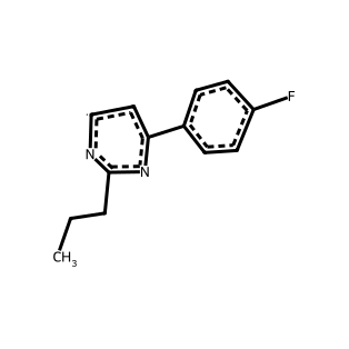 CCCc1n[c]cc(-c2ccc(F)cc2)n1